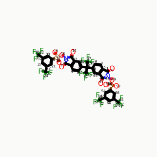 O=C1c2ccc(C(c3ccc4c(c3)C(=O)N(OS(=O)(=O)c3cc(C(F)(F)F)cc(C(F)(F)F)c3)C4=O)(C(F)(F)F)C(F)(F)F)cc2C(=O)N1OS(=O)(=O)c1cc(C(F)(F)F)cc(C(F)(F)F)c1